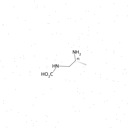 C[C@@H](N)CNC(=O)O